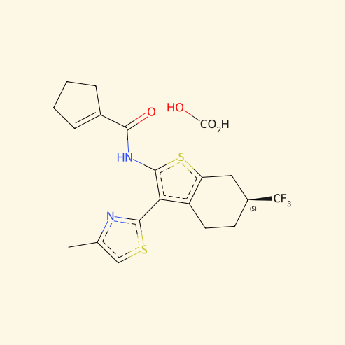 Cc1csc(-c2c(NC(=O)C3=CCCC3)sc3c2CC[C@H](C(F)(F)F)C3)n1.O=C(O)O